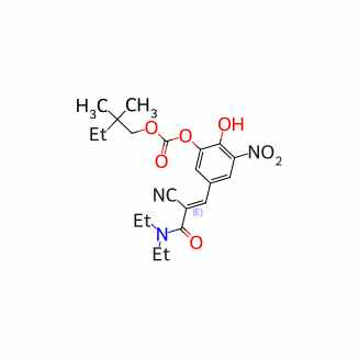 CCN(CC)C(=O)/C(C#N)=C/c1cc(OC(=O)OCC(C)(C)CC)c(O)c([N+](=O)[O-])c1